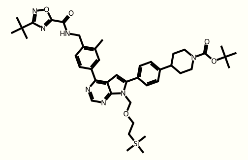 Cc1cc(-c2ncnc3c2cc(-c2ccc(C4CCN(C(=O)OC(C)(C)C)CC4)cc2)n3COCC[Si](C)(C)C)ccc1CNC(=O)c1nc(C(C)(C)C)no1